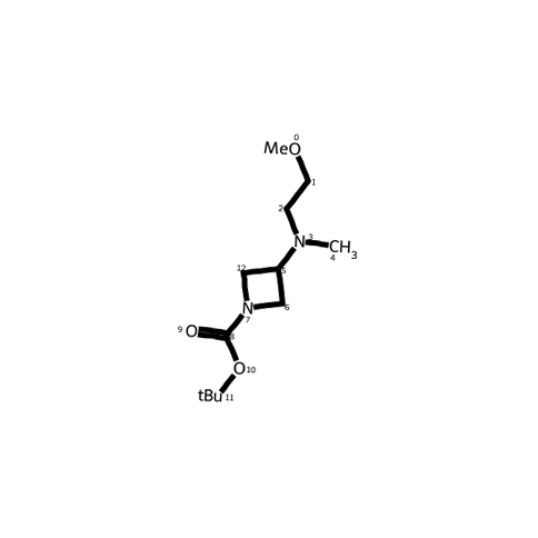 COCCN(C)C1CN(C(=O)OC(C)(C)C)C1